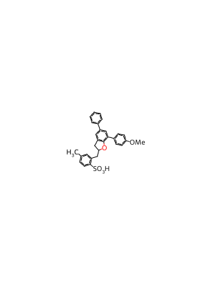 COc1ccc(-c2cc(-c3ccccc3)cc3c2OC(Cc2cc(C)ccc2S(=O)(=O)O)C3)cc1